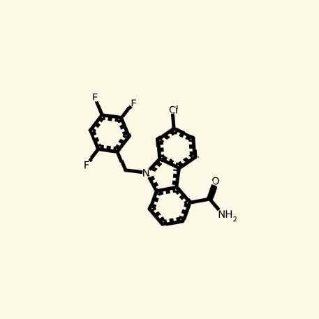 NC(=O)c1cccc2c1c1[c]cc(Cl)cc1n2Cc1cc(F)c(F)cc1F